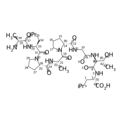 CC(C)C[C@H](NC(=O)[C@@H](NC(=O)CNC(=O)[C@H]1CCCN1C(=O)[C@H](C)NC(=O)[C@@H]1CCCN1C(=O)[C@H](CC(C)C)NC(=O)[C@H](C)N)[C@@H](C)O)C(=O)O